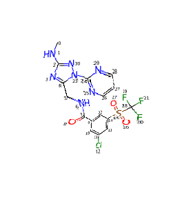 CNc1nc(CNC(=O)c2cc(Cl)cc(S(=O)(=O)C(F)(F)F)c2)n(-c2ncccn2)n1